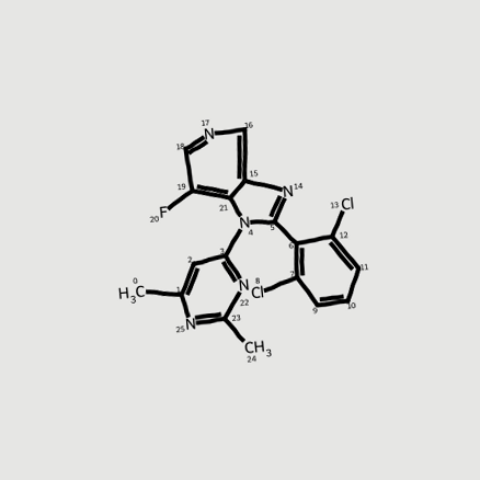 Cc1cc(-n2c(-c3c(Cl)cccc3Cl)nc3cncc(F)c32)nc(C)n1